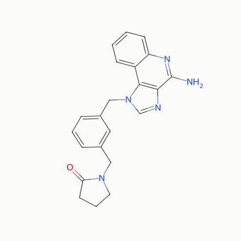 Nc1nc2ccccc2c2c1ncn2Cc1cccc(CN2CCCC2=O)c1